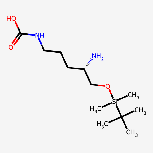 CC(C)(C)[Si](C)(C)OC[C@@H](N)CCCNC(=O)O